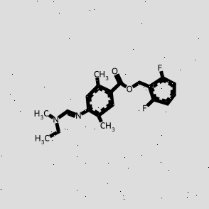 CCN(C)/C=N/c1cc(C)c(C(=O)OCc2c(F)cccc2F)cc1C